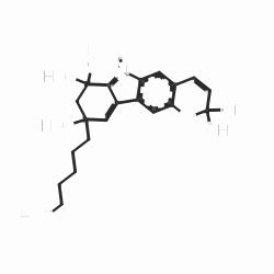 CCCCCCC1(C)C=C2C(=[N+]([O-])c3cc4c(cc32)OC(C)(C)C=C4)C(C)(C)C1